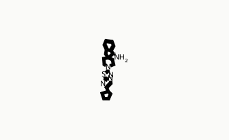 N[C@@H]1c2ccccc2CC12CCN(c1nn3cc(C4CCCC4)nc3s1)CC2